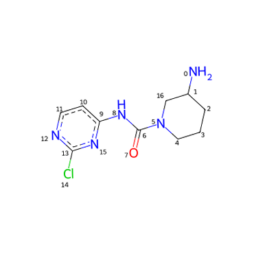 NC1CCCN(C(=O)Nc2ccnc(Cl)n2)C1